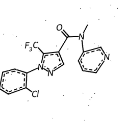 CN(C(=O)c1cnn(-c2ccccc2Cl)c1C(F)(F)F)c1cccnc1